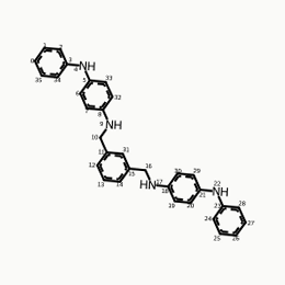 c1ccc(Nc2ccc(NCc3cccc(CNc4ccc(Nc5ccccc5)cc4)c3)cc2)cc1